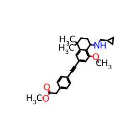 COC(=O)Cc1ccc(C#Cc2cc(OC)c3c(c2)C(C)(C)CCC3NCC2CC2)cc1